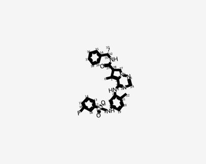 CC1=C2C(Nc3cc(NS(=O)(=O)c4cccc(F)c4)ccc3C)=NC=NN2CC1C(=O)N[C@@H](C)c1ccccc1